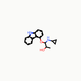 CC(O)C(NC1CC1)Oc1cccc2[nH]c3ccccc3c12